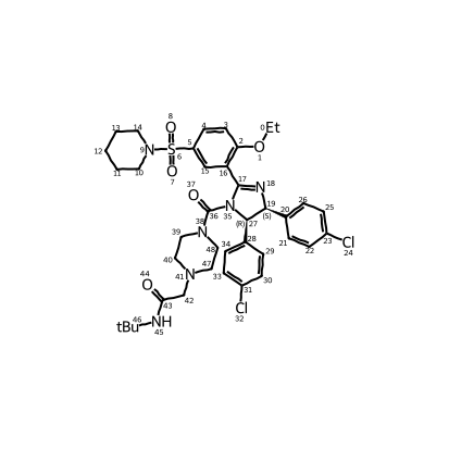 CCOc1ccc(S(=O)(=O)N2CCCCC2)cc1C1=N[C@@H](c2ccc(Cl)cc2)[C@@H](c2ccc(Cl)cc2)N1C(=O)N1CCN(CC(=O)NC(C)(C)C)CC1